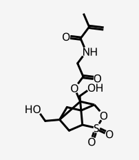 C=C(C)C(=O)NCC(=O)OC1C2OS(=O)(=O)C3CC1(CO)CC23CO